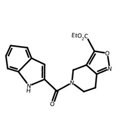 CCOC(=O)c1onc2c1CN(C(=O)c1cc3ccccc3[nH]1)CC2